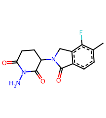 Cc1ccc2c(c1F)CN(C1CCC(=O)N(N)C1=O)C2=O